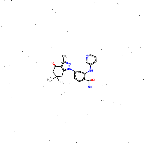 Cc1nn(-c2ccc(C(N)=O)c(Nc3cccnc3)c2)c2c1C(=O)CC(C)(C)C2